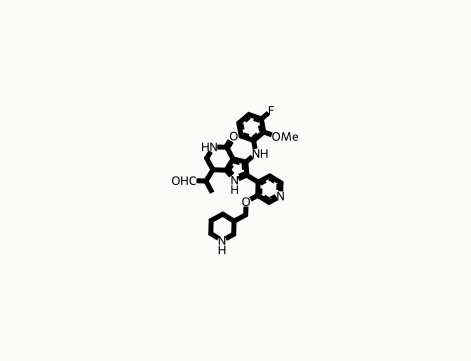 COc1c(F)cccc1Nc1c(-c2ccncc2OCC2CCCNC2)[nH]c2c1C(=O)NCC2C(C)C=O